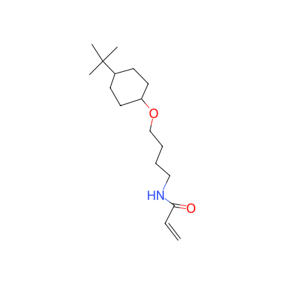 C=CC(=O)NCCCCOC1CCC(C(C)(C)C)CC1